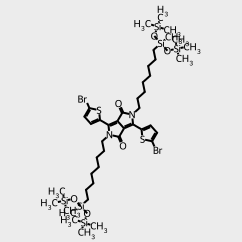 C[Si](C)(C)O[Si](C)(CCCCCCCCN1C(=O)C2=C(c3ccc(Br)s3)N(CCCCCCCC[Si](C)(O[Si](C)(C)C)O[Si](C)(C)C)C(=O)C2=C1c1ccc(Br)s1)O[Si](C)(C)C